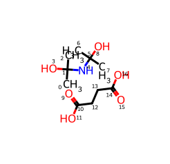 CC(C)(O)NC(C)(C)O.O=C(O)CCC(=O)O